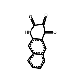 O=C1Nc2cc3ccccc3cc2C(=O)C1=O